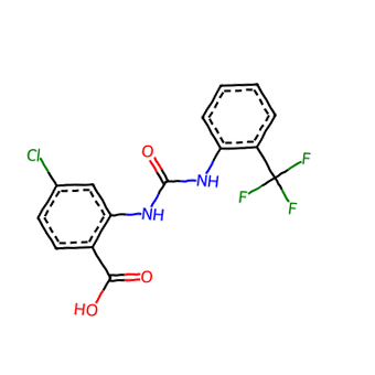 O=C(Nc1cc(Cl)ccc1C(=O)O)Nc1ccccc1C(F)(F)F